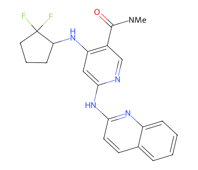 CNC(=O)c1cnc(Nc2ccc3ccccc3n2)cc1NC1CCCC1(F)F